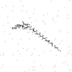 CCC=CCC=CCC=CCC=CCC=CCC=CCCC(=O)NC(C)C(=O)NCCS